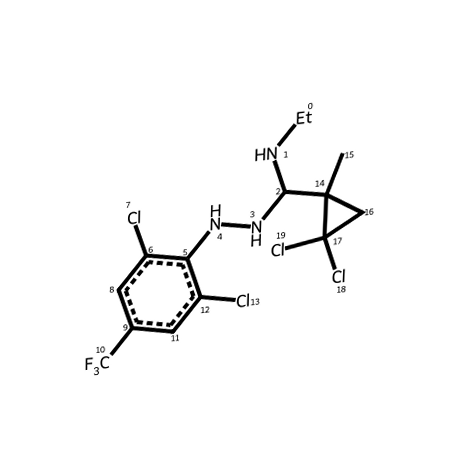 CCNC(NNc1c(Cl)cc(C(F)(F)F)cc1Cl)C1(C)CC1(Cl)Cl